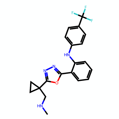 CNCC1(c2nnc(-c3ccccc3Nc3ccc(C(F)(F)F)cc3)o2)CC1